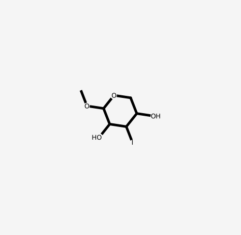 COC1OCC(O)C(I)C1O